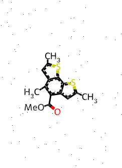 COC(=O)c1c(C)c2cc(C)sc2c2sc(C)cc12